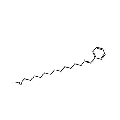 COCCCCCCCCCCCCN=Cc1ccccc1